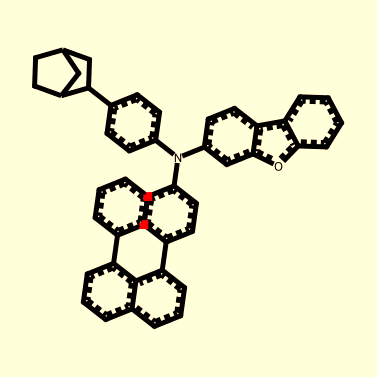 c1ccc(-c2cccc3cccc(-c4ccc(N(c5ccc(C6CC7CCC6C7)cc5)c5ccc6c(c5)oc5ccccc56)cc4)c23)cc1